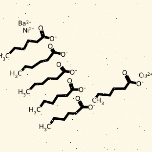 CCCCCC(=O)[O-].CCCCCC(=O)[O-].CCCCCC(=O)[O-].CCCCCC(=O)[O-].CCCCCC(=O)[O-].CCCCCC(=O)[O-].[Ba+2].[Cu+2].[Ni+2]